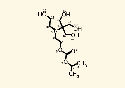 CC(C)OC(=O)OCCN(CCO)C(CO)(CO)CO